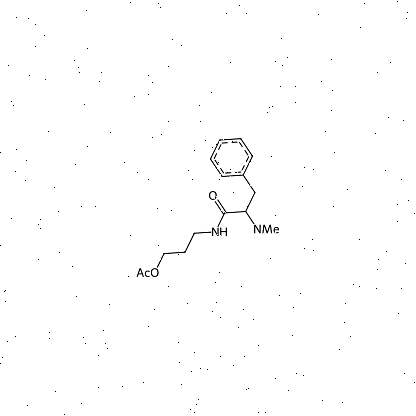 CNC(Cc1ccccc1)C(=O)NCCCOC(C)=O